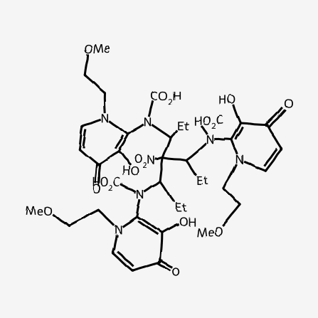 CCC(N(C(=O)O)c1c(O)c(=O)ccn1CCOC)C(C(CC)N(C(=O)O)c1c(O)c(=O)ccn1CCOC)(C(CC)N(C(=O)O)c1c(O)c(=O)ccn1CCOC)[N+](=O)[O-]